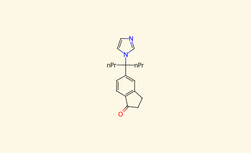 CCCC(CCC)(c1ccc2c(c1)CCC2=O)n1ccnc1